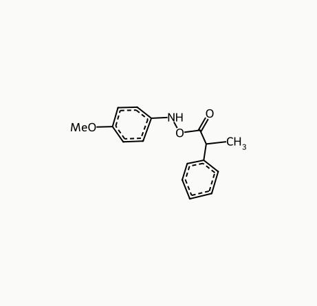 COc1ccc(NOC(=O)C(C)c2ccccc2)cc1